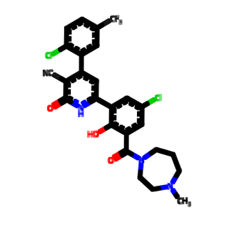 CN1CCCN(C(=O)c2cc(Cl)cc(-c3cc(-c4cc(C(F)(F)F)ccc4Cl)c(C#N)c(=O)[nH]3)c2O)CC1